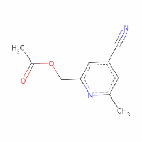 CC(=O)OCc1cc(C#N)cc(C)n1